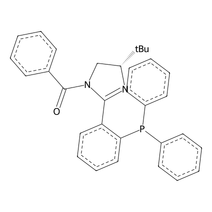 CC(C)(C)[C@H]1CN(C(=O)c2ccccc2)C(c2ccccc2P(c2ccccc2)c2ccccc2)=N1